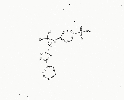 NS(=O)(=O)c1ccc([C@H]2[C@H](c3nc(-c4ccccc4)no3)C2(Cl)Cl)cc1